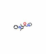 Cc1cc(C(=O)CN2CCCC2)c(C)n1-c1ccccc1